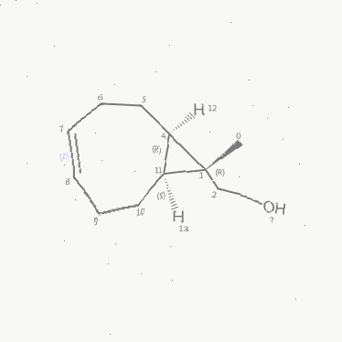 C[C@]1(CO)[C@@H]2CC/C=C\CC[C@@H]21